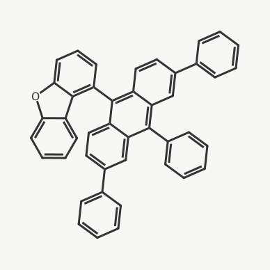 c1ccc(-c2ccc3c(-c4cccc5oc6ccccc6c45)c4ccc(-c5ccccc5)cc4c(-c4ccccc4)c3c2)cc1